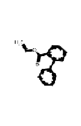 C=COC(=O)c1ccccc1-c1ccccc1